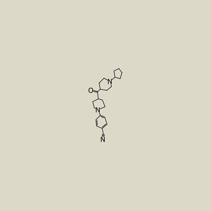 N#Cc1ccc(N2CCC(C(=O)C3CCN(C4CCCC4)CC3)CC2)cc1